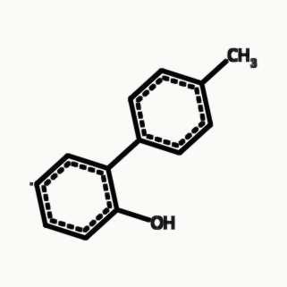 Cc1ccc(-c2c[c]ccc2O)cc1